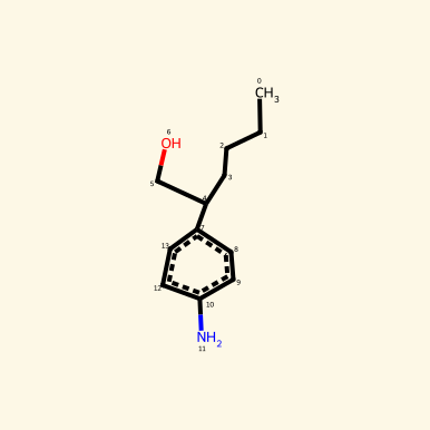 CCCCC(CO)c1ccc(N)cc1